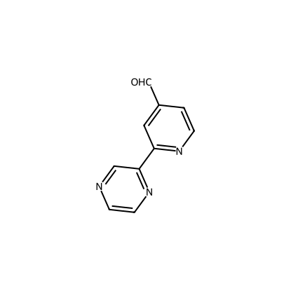 O=Cc1ccnc(-c2cnccn2)c1